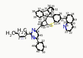 C=C/C=C\C(=C)c1nc(C2=CC3Sc4cc(-c5cccc6cccnc56)ccc4C4(c5ccccc5-c5ccccc54)C3C=C2)cc(-c2ccccc2)n1